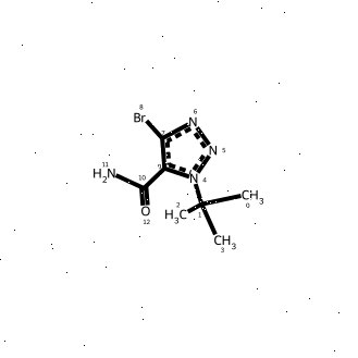 CC(C)(C)n1nnc(Br)c1C(N)=O